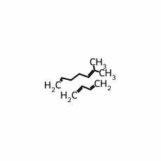 C=CC=C.C=CCCC=C(C)C